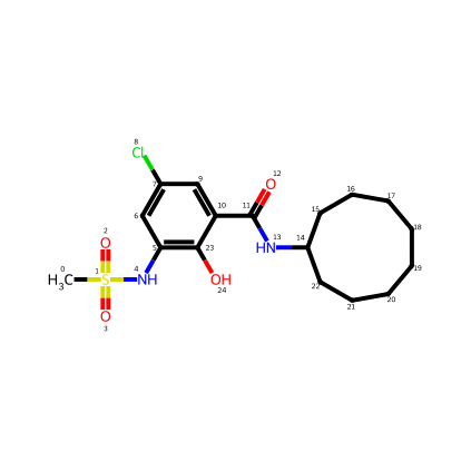 CS(=O)(=O)Nc1cc(Cl)cc(C(=O)NC2CCCCCCCC2)c1O